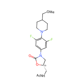 COC[C]1CCN(c2c(F)cc(N3C[C@H](CNC(C)=O)OC3=O)cc2F)CC1